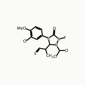 COc1ccc(N2C(=O)N(F)N(C(Cl)Cl)C2C(C)C=S)cc1Cl